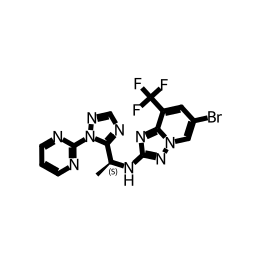 C[C@H](Nc1nc2c(C(F)(F)F)cc(Br)cn2n1)c1ncnn1-c1ncccn1